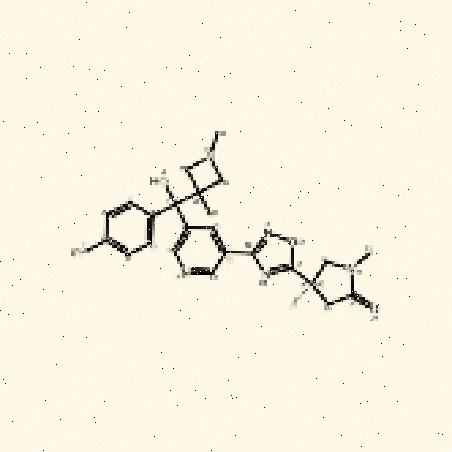 CC(C)c1ccc(C(O)(c2cncc(-c3noc([C@]4(C)CC(=O)N(C)C4)n3)c2)C2(C)CN(C)C2)cc1